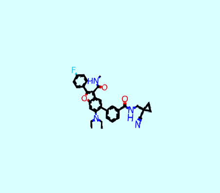 CCN(CC)c1cc2oc(-c3ccc(F)cc3)c(C(=O)NC)c2cc1-c1cccc(C(=O)NCC2(C#N)CC2)c1